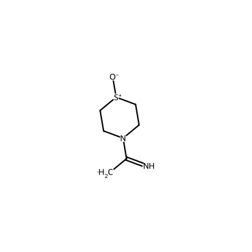 [CH2]C(=N)N1CC[S+]([O-])CC1